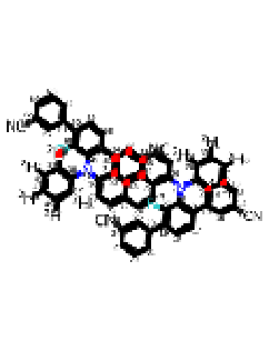 [2H]c1c([2H])c([2H])c(N(c2c(-c3cccc(C#N)c3)ccc(-c3cccc([N+]#[C-])c3)c2F)c2ccc3ccc4c(N(c5c([2H])c([2H])c([2H])c([2H])c5[2H])c5c(-c6cccc([N+]#[C-])c6)ccc(-c6cccc(C#N)c6)c5F)ccc5ccc2c3c54)c([2H])c1[2H]